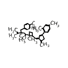 C=C1CC(c2ccc(C)cc2C)=C/C1=C\C1CC[C@@]1(C)C(=O)C[C@@](C)(Cc1ccc(C)cc1)C(=C)C